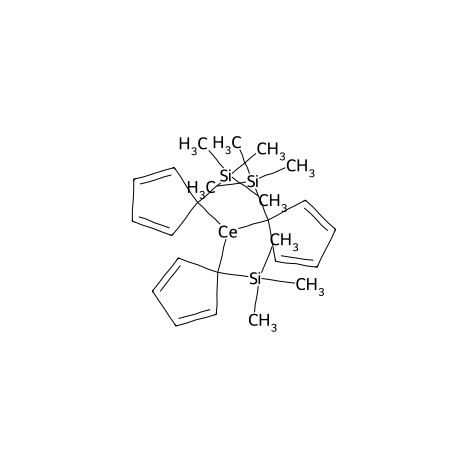 C[Si](C)(C)[C]1([Ce]([C]2([Si](C)(C)C)C=CC=C2)[C]2([Si](C)(C)C)C=CC=C2)C=CC=C1